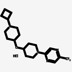 Cl.FC(F)(F)c1cnc(N2CCC(OC3CCN(C4CCC4)CC3)CC2)cn1